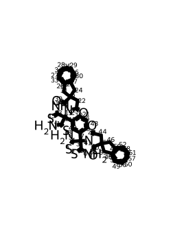 NC(=S)C(C(N)=S)(c1cccc(C(C(N)=S)(C(N)=S)N2C(=O)CC(Cc3ccccc3)(Cc3ccccc3)C2=O)c1)N1C(=O)CC(Cc2ccccc2)(Cc2ccccc2)C1=O